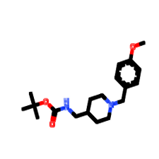 COc1ccc(CN2CCC(CNC(=O)OC(C)(C)C)CC2)cc1